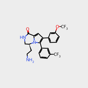 NCC[C@H]1CNC(=O)c2cc(-c3cccc(OC(F)(F)F)c3)c(-c3cccc(C(F)(F)F)c3)n21